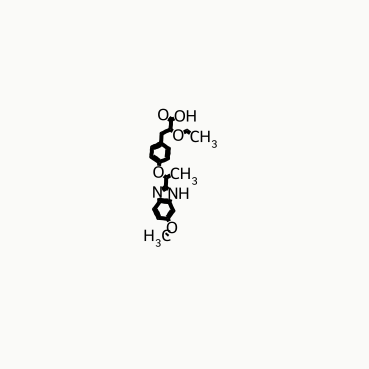 CCOC(Cc1ccc(OC(C)c2nc3ccc(OC)cc3[nH]2)cc1)C(=O)O